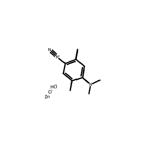 Cc1cc(N(C)C)c(C)cc1[N+]#N.Cl.[Cl-].[Zn]